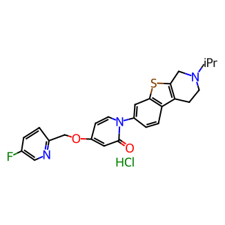 CC(C)N1CCc2c(sc3cc(-n4ccc(OCc5ccc(F)cn5)cc4=O)ccc23)C1.Cl